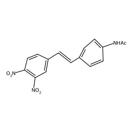 CC(=O)Nc1ccc(/C=C/c2ccc([N+](=O)[O-])c([N+](=O)[O-])c2)cc1